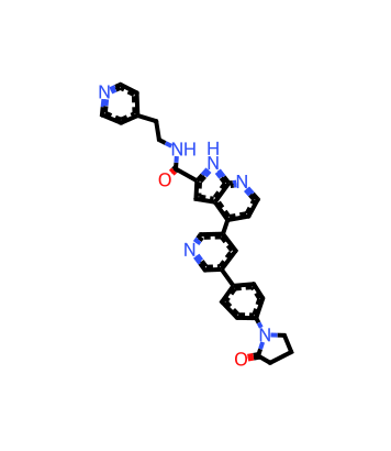 O=C(NCCc1ccncc1)c1cc2c(-c3cncc(-c4ccc(N5CCCC5=O)cc4)c3)ccnc2[nH]1